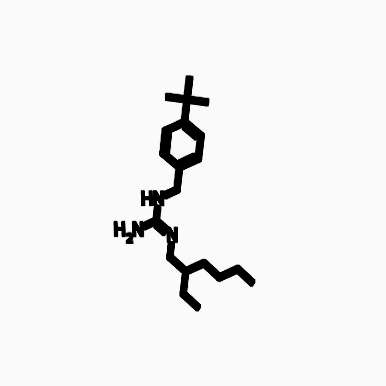 CCCCC(CC)CN=C(N)NCc1ccc(C(C)(C)C)cc1